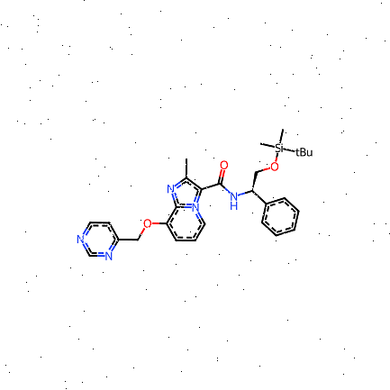 Cc1nc2c(OCc3ccncn3)cccn2c1C(=O)N[C@@H](CO[Si](C)(C)C(C)(C)C)c1ccccc1